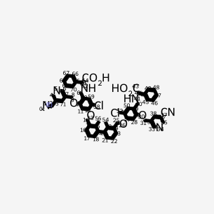 C/N=C/c1cncc(COc2cc(OCc3cccc(-c4cccc(COc5cc(OCc6cncc(C#N)c6)c(CN[C@H](C(=O)O)c6ccccc6)cc5Cl)c4C)c3C)c(Cl)cc2CN[C@H](C(=O)O)c2ccccc2)c1